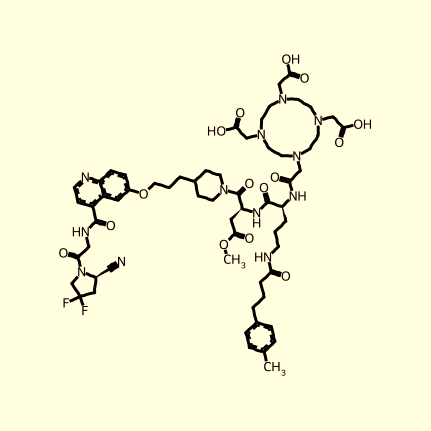 COC(=O)C[C@H](NC(=O)[C@H](CCCNC(=O)CCCc1ccc(C)cc1)NC(=O)CN1CCN(CC(=O)O)CCN(CC(=O)O)CCN(CC(=O)O)CC1)C(=O)N1CCC(CCCOc2ccc3nccc(C(=O)NCC(=O)N4CC(F)(F)C[C@@H]4C#N)c3c2)CC1